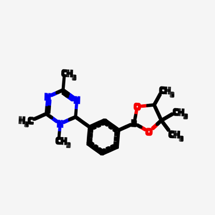 CC1=NC(c2cccc(B3OC(C)C(C)(C)O3)c2)N(C)C(C)=N1